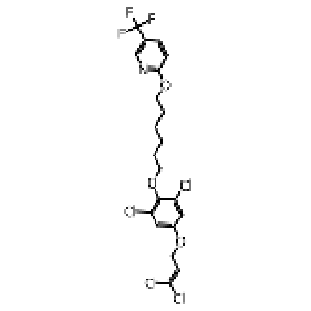 FC(F)(F)c1ccc(OCCCCCCOc2c(Cl)cc(OCC=C(Cl)Cl)cc2Cl)nc1